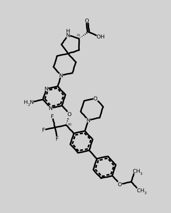 CC(C)Oc1ccc(-c2ccc([C@@H](Oc3cc(N4CCC5(CC4)CN[C@H](C(=O)O)C5)nc(N)n3)C(F)(F)F)c(N3CCOCC3)c2)cc1